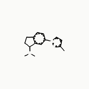 Cc1ccn(-c2ccc3c(c2)C(N(C)C)CC3)n1